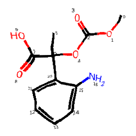 COC(=O)OC(C)(C(=O)O)c1ccccc1N